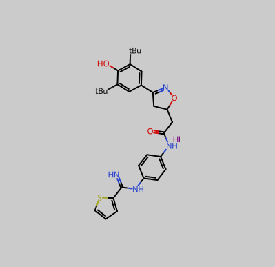 CC(C)(C)c1cc(C2=NOC(CC(=O)Nc3ccc(NC(=N)c4cccs4)cc3)C2)cc(C(C)(C)C)c1O.I